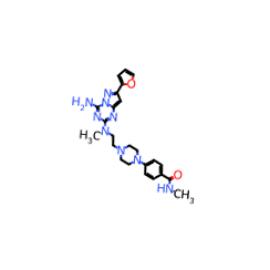 CNC(=O)c1ccc(N2CCN(CCN(C)c3nc(N)n4nc(-c5ccco5)cc4n3)CC2)cc1